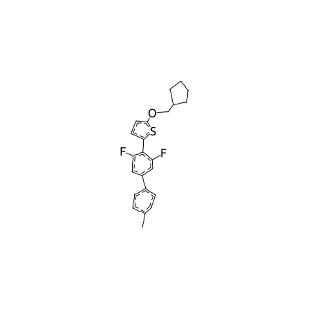 Cc1ccc(-c2cc(F)c(-c3ccc(OCC4CCCC4)s3)c(F)c2)cc1